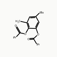 Cc1cc(C(C)(C)C)cc(OC(=O)C(C)C)c1OC(=O)C(C)C